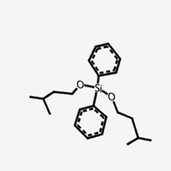 CC(C)CCO[Si](OCCC(C)C)(c1ccccc1)c1ccccc1